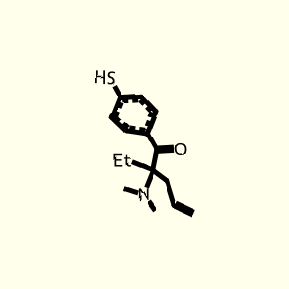 C=CCC(CC)(C(=O)c1ccc(S)cc1)N(C)C